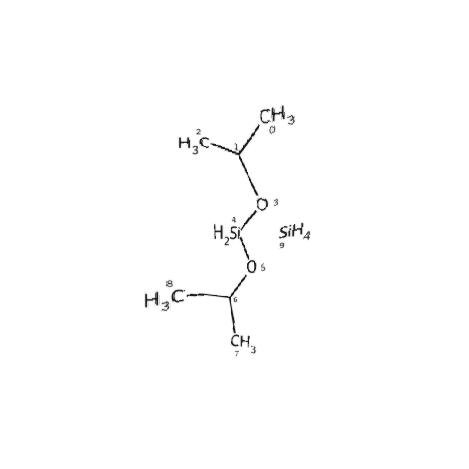 CC(C)O[SiH2]OC(C)C.[SiH4]